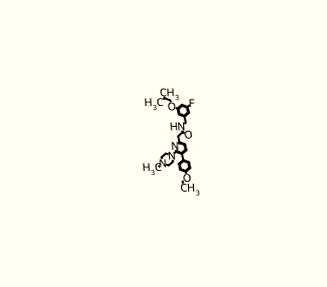 CCOc1ccc(-c2ccc(CC(=O)NCc3cc(F)cc(OCC(C)C)c3)nc2N2CCN(C)CC2)cc1